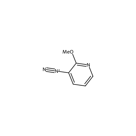 COc1ncccc1[N+]#N